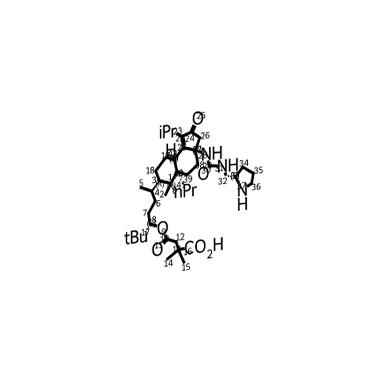 CCC[C@]1(C)[C@@H](C(C)CC[C@H](OC(=O)CC(C)(C)C(=O)O)C(C)(C)C)CC[C@@H]2C3=C(C(C)C)C(=O)C[C@]3(NC(=O)NC[C@@H]3CCCN3)CC[C@]21C